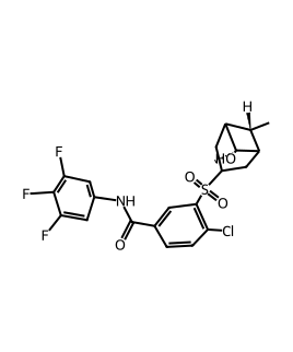 C[C@H]1C2CC(S(=O)(=O)c3cc(C(=O)Nc4cc(F)c(F)c(F)c4)ccc3Cl)CC1[C@@]2(C)O